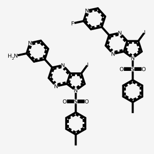 Cc1ccc(S(=O)(=O)n2cc(I)c3nc(-c4ccnc(F)c4)cnc32)cc1.Cc1ccc(S(=O)(=O)n2cc(I)c3nc(-c4ccnc(N)c4)cnc32)cc1